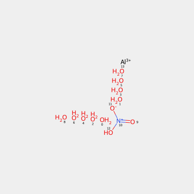 O.O.O.O.O.O.O.O.O.O=[N+]([O-])O.[Al+3]